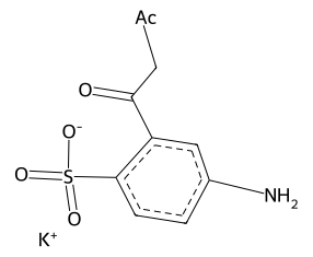 CC(=O)CC(=O)c1cc(N)ccc1S(=O)(=O)[O-].[K+]